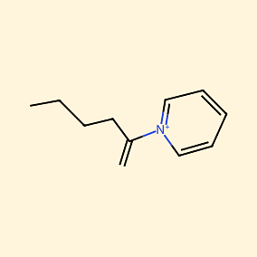 C=C(CCCC)[n+]1ccccc1